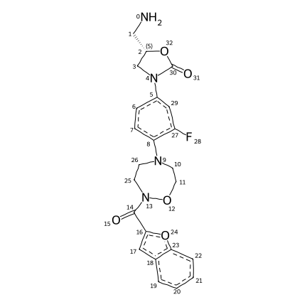 NC[C@H]1CN(c2ccc(N3CCON(C(=O)c4cc5ccccc5o4)CC3)c(F)c2)C(=O)O1